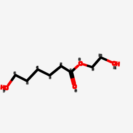 O=C(CCCCCO)OCCO